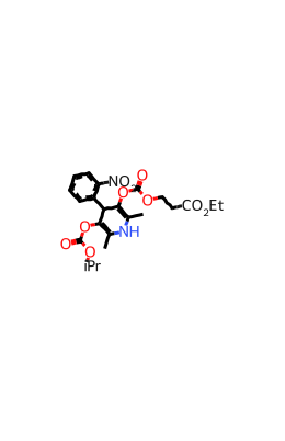 CCOC(=O)CCOC(=O)OC1=C(C)NC(C)=C(OC(=O)OC(C)C)C1c1ccccc1[N+](=O)[O-]